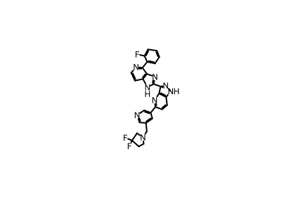 Fc1ccccc1-c1nccc2[nH]c(-c3n[nH]c4ccc(-c5cncc(CN6CCC(F)(F)C6)c5)nc34)nc12